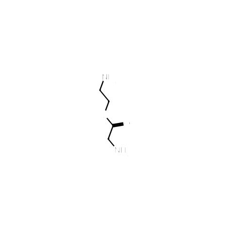 NCCSC(=O)CN